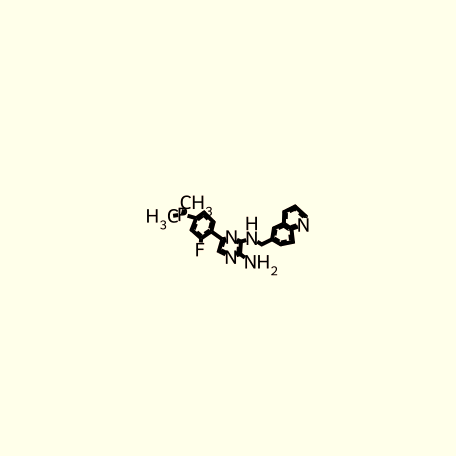 CP(C)c1ccc(-c2cnc(N)c(NCc3ccc4ncccc4c3)n2)c(F)c1